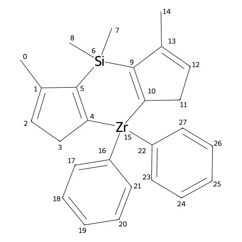 CC1=CC[C]2=C1[Si](C)(C)C1=[C](CC=C1C)[Zr]2([c]1ccccc1)[c]1ccccc1